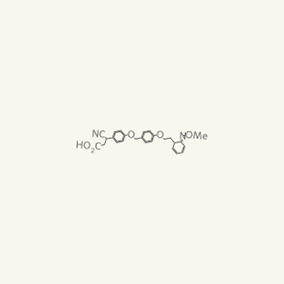 CON=C1C=CC=CC1CCOc1ccc(COc2ccc(C(C#N)CC(=O)O)cc2)cc1